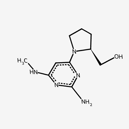 CNc1cc(N2CCC[C@H]2CO)nc(N)n1